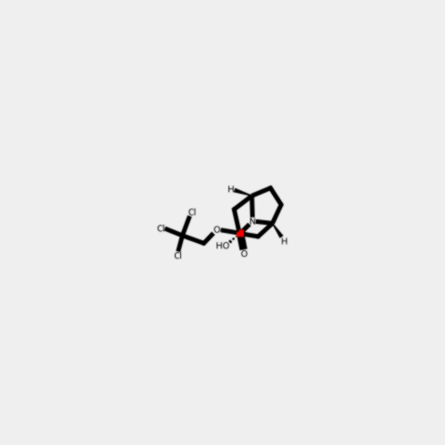 O=C(OCC(Cl)(Cl)Cl)N1[C@@H]2CC[C@H]1C[C@@H](O)C2